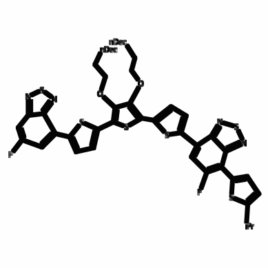 CCCCCCCCCCCCOc1c(-c2ccc(-c3cc(F)cc4nsnc34)s2)sc(-c2ccc(-c3cc(F)c(-c4ccc(C(C)C)s4)c4nsnc34)s2)c1OCCCCCCCCCCCC